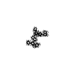 c1ccc(C2=NC(c3cccc4c(-c5cc(-c6ccccc6)cc6oc7ccccc7c56)cccc34)NC(c3ccc(-c4cccc5ccccc45)cc3)=N2)cc1